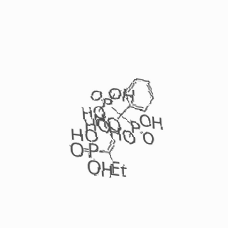 CCC(=CO)P(=O)(O)O.O=P(O)(O)C(O)(c1ccccc1)P(=O)(O)O